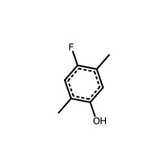 Cc1cc(F)c(C)cc1O